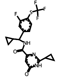 O=C(NC(c1ccc(SC(F)(F)F)c(F)c1)C1CC1)c1cc(=O)[nH]c(C2CC2)n1